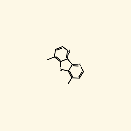 Cc1ccnc2c1sc1c(C)ccnc12